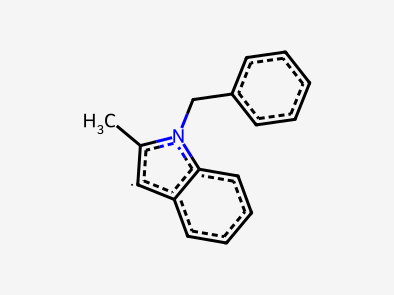 Cc1[c]c2ccccc2n1Cc1ccccc1